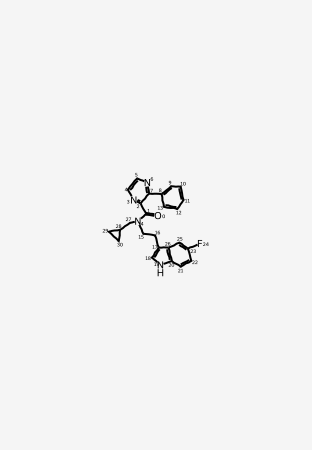 O=C(c1nccnc1-c1ccccc1)N(CCc1c[nH]c2ccc(F)cc12)CC1CC1